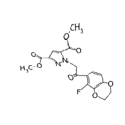 COC(=O)c1cc(C(=O)OC)n(CC(=O)c2ccc3c(c2F)OCCO3)n1